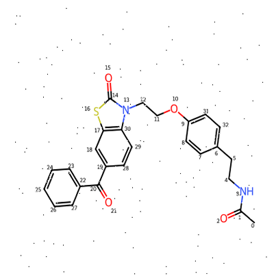 CC(=O)NCCc1ccc(OCCn2c(=O)sc3cc(C(=O)c4ccccc4)ccc32)cc1